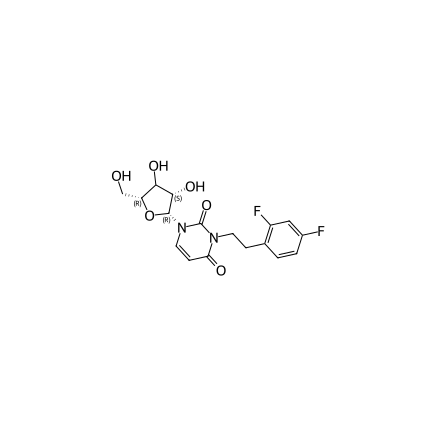 O=c1ccn([C@@H]2O[C@H](CO)C(O)[C@@H]2O)c(=O)n1CCc1ccc(F)cc1F